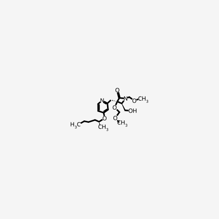 CCCC[C@@H](C)Oc1ccnc(C[C@]2(OCOC)C(=O)N(COC)[C@H]2CO)c1